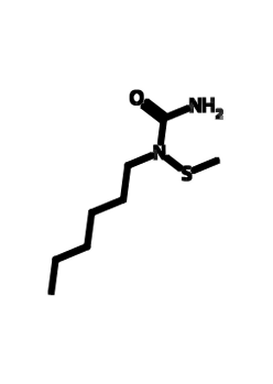 CCCCCCN(SC)C(N)=O